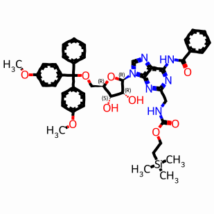 COc1ccc(C(OC[C@H]2O[C@@H](n3cnc4c(NC(=O)c5ccccc5)nc(CNC(=O)OCC[Si](C)(C)C)nc43)[C@H](O)[C@@H]2O)(c2ccccc2)c2ccc(OC)cc2)cc1